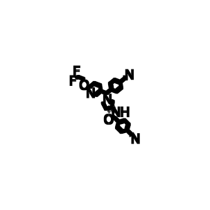 N#Cc1ccc(C(=O)N[C@@H]2CCN(C(c3ccc(C#N)cc3)c3ccc(OCC(F)F)nc3)C2)cc1